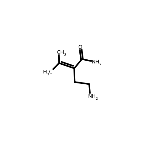 CC(C)=C(CCN)C(N)=O